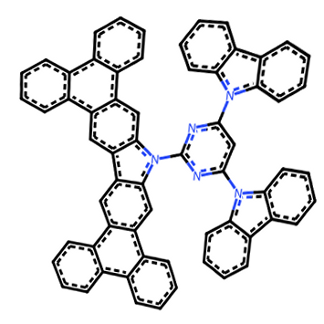 c1ccc2c(c1)c1ccccc1c1cc3c(cc21)c1cc2c4ccccc4c4ccccc4c2cc1n3-c1nc(-n2c3ccccc3c3ccccc32)cc(-n2c3ccccc3c3ccccc32)n1